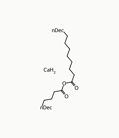 CCCCCCCCCCCCCCCCCC(=O)OC(=O)CCCCCCCCCCCCC.[CaH2]